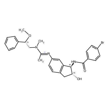 CO[C@H](CN(C)/C(C)=N/c1ccc2c(c1)[C@@H](NC(=O)c1ccc(Br)cc1)[C@H](O)C2)c1ccccc1